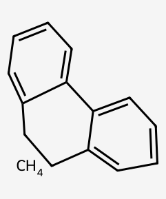 C.c1ccc2c(c1)CCc1ccccc1-2